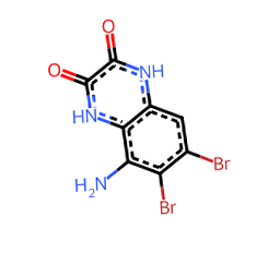 Nc1c(Br)c(Br)cc2[nH]c(=O)c(=O)[nH]c12